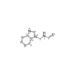 S=CNCn1cnc2ccccc21